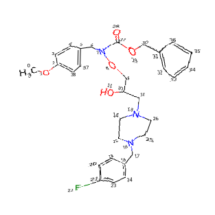 COc1ccc(CN(OCC(O)CN2CCN(Cc3ccc(F)cc3)CC2)C(=O)OCc2ccccc2)cc1